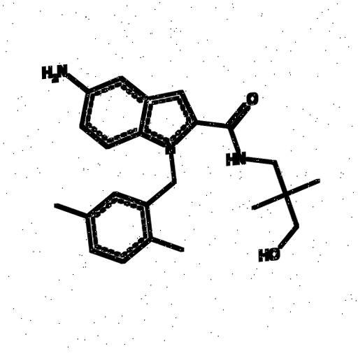 Cc1ccc(C)c(Cn2c(C(=O)NCC(C)(C)CO)cc3cc(N)ccc32)c1